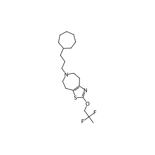 CC(F)(F)COc1nc2c(s1)CCN(CCCC1CCCCCC1)CC2